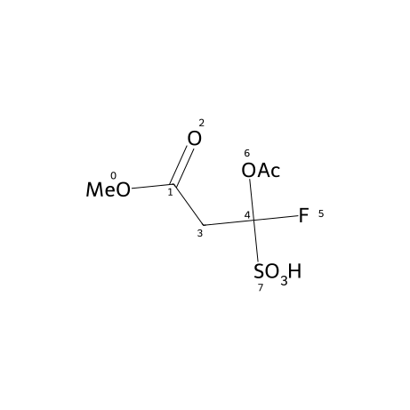 COC(=O)CC(F)(OC(C)=O)S(=O)(=O)O